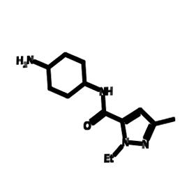 CCn1nc(C)cc1C(=O)NC1CCC(N)CC1